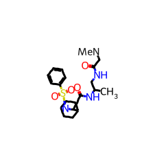 CNCC(=O)NCC(C)NC(=O)C1C2CCC(CC2)N1S(=O)(=O)c1ccccc1